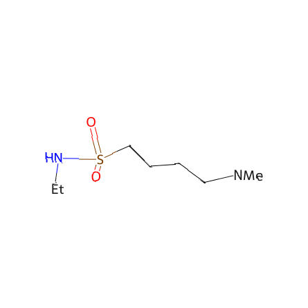 CCNS(=O)(=O)CCCCNC